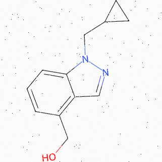 OCc1cccc2c1cnn2CC1CC1